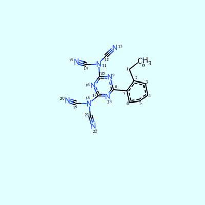 CCc1ccccc1-c1nc(N(C#N)C#N)nc(N(C#N)C#N)n1